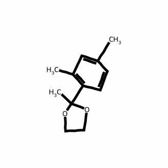 Cc1ccc(C2(C)OCCO2)c(C)c1